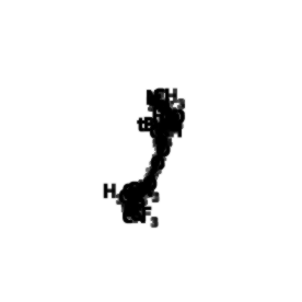 Cc1ncsc1-c1ccc(CNC(=O)[C@@H]2CCCN2C(=O)[C@@H](NC(=O)c2ccc(OCCCOCCCCCOc3ccc(N4C(=S)N(c5ccc(C#N)c(C(F)(F)F)c5F)C(=O)C4(C)C)cn3)cc2)C(C)(C)C)cc1